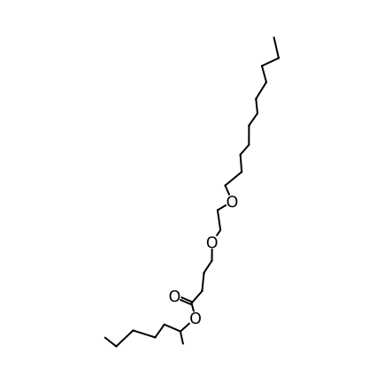 CCCCCCCCCCCOCCOCCCC(=O)OC(C)CCCCC